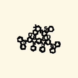 CC1(C)CCC(C)(C)c2cc3c(cc21)Oc1cc(-n2c4ccccc4c4ccccc42)cc2c1B3c1cc3c(cc1N2c1ccccc1)N(c1ccccc1)c1cc(-n2c4ccccc4c4ccccc42)cc2c1B3c1ccc3sc4c(c3c1O2)CCCC4